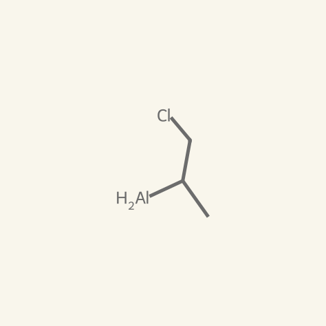 C[CH]([AlH2])CCl